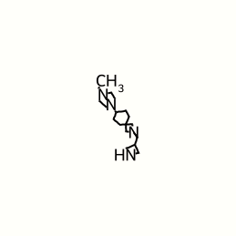 CCN1CCN(C2CCC3(CC2)CN(CC2CNC2)C3)CC1